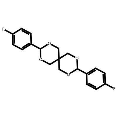 Fc1ccc(C2OCC3(CO2)COC(c2ccc(F)cc2)OC3)cc1